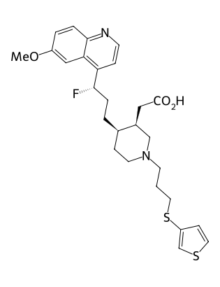 COc1ccc2nccc([C@@H](F)CC[C@@H]3CCN(CCCSc4ccsc4)C[C@@H]3CC(=O)O)c2c1